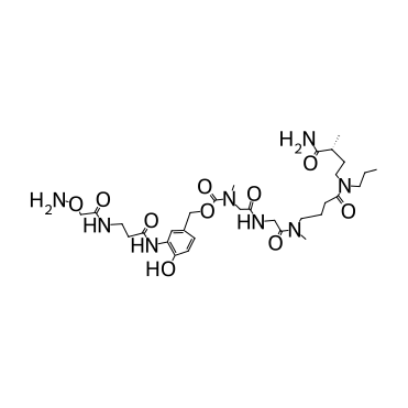 CCCN(CC[C@@H](C)C(N)=O)C(=O)CCCN(C)C(=O)CNC(=O)CN(C)C(=O)OCc1ccc(O)c(NC(=O)CCNC(=O)CON)c1